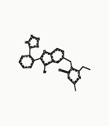 CCc1nc(C)cc(=O)n1Cc1ccc2oc(-c3ccccc3-c3nnn[nH]3)c(Br)c2c1